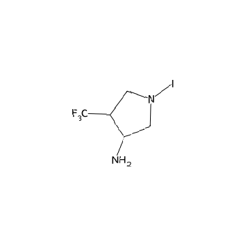 NC1CN(I)CC1C(F)(F)F